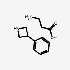 CCCC(=O)O.c1ccc(C2CNC2)cc1